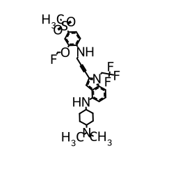 CN(C)C1CCC(Nc2cccc3c2cc(C#CCNc2ccc(S(C)(=O)=O)cc2OCF)n3CC(F)(F)F)CC1